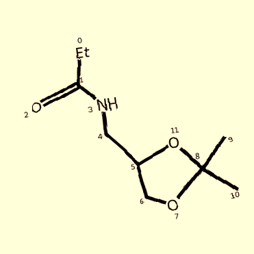 CCC(=O)NCC1COC(C)(C)O1